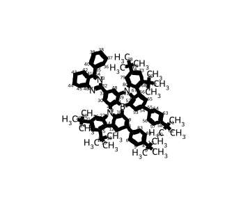 CC(C)(C)c1ccc(-c2cc3c4c(c2)c2c(C(C)(C)C)cc(C(C)(C)C)cc2n4-c2cc(-c4nc(-c5ccccc5)c5ccccc5n4)cc4c2B3c2cc(-c3ccc(C(C)(C)C)cc3)cc3c5c(C(C)(C)C)cc(C(C)(C)C)cc5n-4c23)cc1